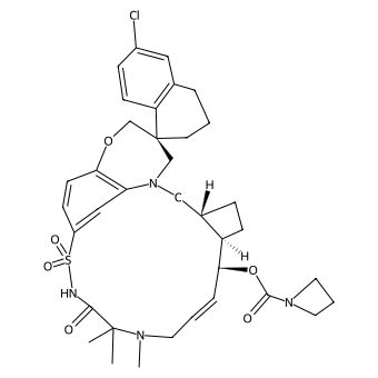 CN1CC=C[C@H](OC(=O)N2CCC2)[C@@H]2CC[C@H]2CN2C[C@@]3(CCCc4cc(Cl)ccc43)COc3ccc(cc32)S(=O)(=O)NC(=O)C1(C)C